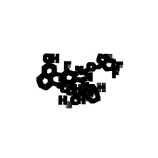 C#Cc1cccc2cc(O)cc(-c3nc4c5c(nc(OCC67CCN6CC(F)(F)C7)nc5c3F)N3C[C@H]5CC[C@H](N5)[C@H]3[C@H](C)O4)c12